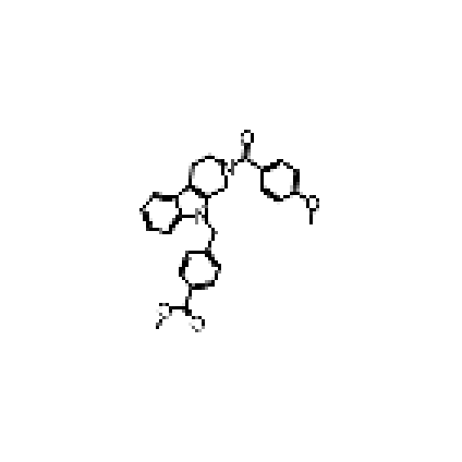 COC(=O)c1ccc(Cn2c3c(c4ccccc42)CCN(C(=O)c2ccc(OC)cc2)C3)cc1